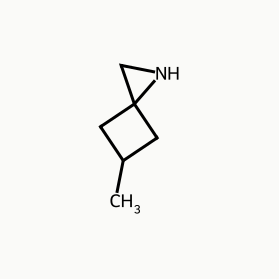 CC1CC2(CN2)C1